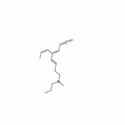 C=C=C/C=C(\C=C/C)/C=C/CCN(C)CCC